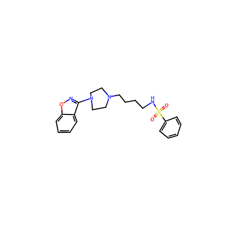 O=S(=O)(NCCCCN1CCN(c2noc3ccccc23)CC1)c1ccccc1